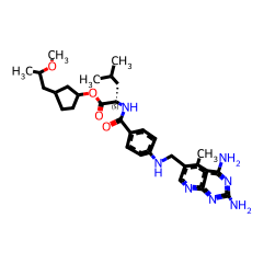 COC(C)CC1CCC(OC(=O)[C@H](CC(C)C)NC(=O)c2ccc(NCc3cnc4nc(N)nc(N)c4c3C)cc2)C1